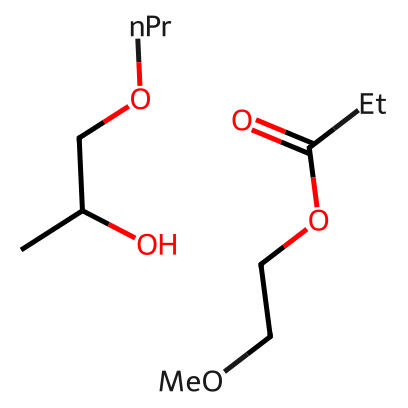 CCC(=O)OCCOC.CCCOCC(C)O